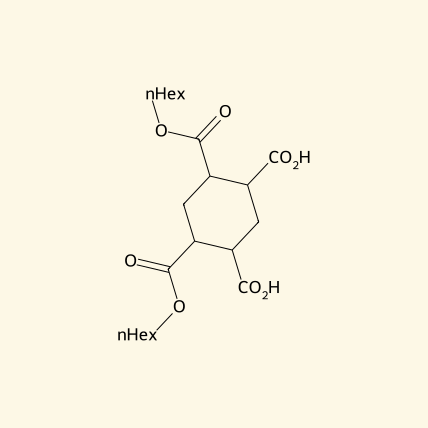 CCCCCCOC(=O)C1CC(C(=O)OCCCCCC)C(C(=O)O)CC1C(=O)O